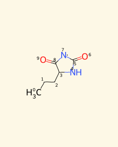 CCCC1NC(=O)[N]C1=O